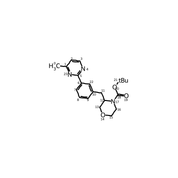 Cc1ccnc(-c2cccc(CC3COCCN3C(=O)OC(C)(C)C)c2)n1